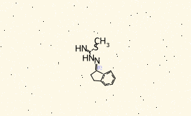 CSC(=N)N/N=C1\CCc2ccccc21